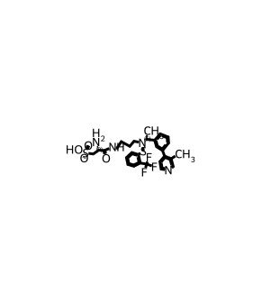 Cc1cnccc1-c1cccc([C@H](C)N(CCCCNC(=O)[C@@H](N)CS(=O)(=O)O)Sc2ccccc2C(F)(F)F)c1